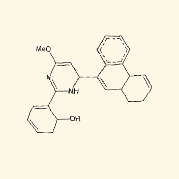 COC1=CC(C2=CC3CCC=CC3c3ccccc32)NC(C2=CC=CCC2O)=N1